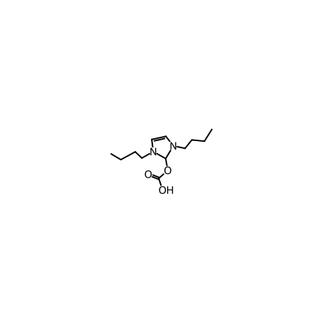 CCCCN1C=CN(CCCC)C1OC(=O)O